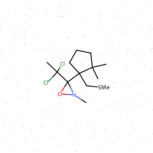 CSCC1(C2(C(C)(Cl)Cl)ON2C)CCCC1(C)C